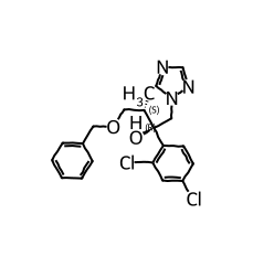 C[C@@H](COCc1ccccc1)[C@](O)(Cn1cncn1)c1ccc(Cl)cc1Cl